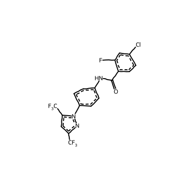 O=C(Nc1ccc(-n2nc(C(F)(F)F)cc2C(F)(F)F)cc1)c1ccc(Cl)cc1F